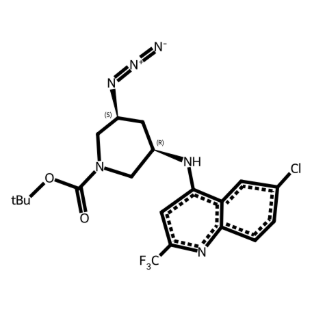 CC(C)(C)OC(=O)N1C[C@@H](N=[N+]=[N-])C[C@@H](Nc2cc(C(F)(F)F)nc3ccc(Cl)cc23)C1